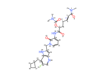 CN(C)C(=O)/C=C/CCC(OC(=O)N(C)C)C(=O)Nc1cccn(Cc2cc3ncc(F)c(CC4CCC4)c3[nH]2)c1=O